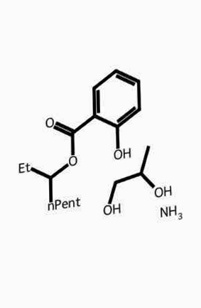 CC(O)CO.CCCCCC(CC)OC(=O)c1ccccc1O.N